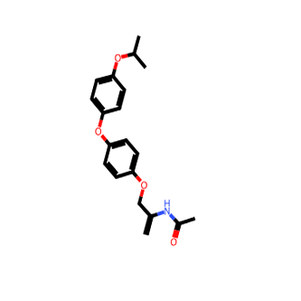 C=C(COc1ccc(Oc2ccc(OC(C)C)cc2)cc1)NC(C)=O